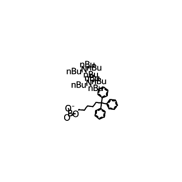 CCCC[N+](CCCC)(CCCC)CCCC.CCCC[N+](CCCC)(CCCC)CCCC.[O-]B([O-])OCCCCCC(c1ccccc1)(c1ccccc1)c1ccccc1